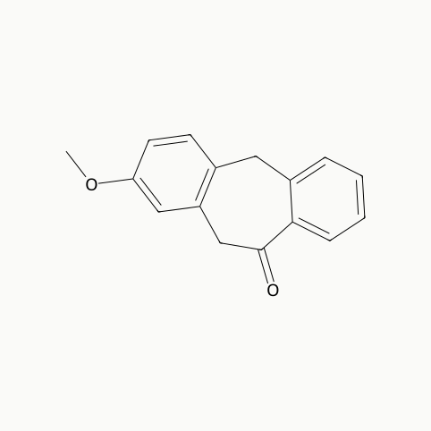 COc1ccc2c(c1)CC(=O)c1ccccc1C2